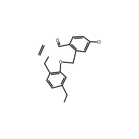 C=C.CCc1ccc(CC)c(OCc2cc(Cl)ccc2C=O)c1